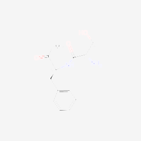 COC(=O)[C@H](Cc1ccccc1)NC(=O)[C@@H](N)[C@@H](C)O